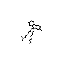 Cc1ccc2c(c1)C(CCCCCCBr)(CCCCCCN(C)C)c1cc(C)ccc1-2